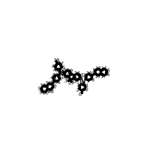 Cc1ccc(N(c2ccc(-c3ccc4ccccc4c3)cc2)c2ccc3c(c2)C(C)(C)c2cc(N(c4ccc(C)cc4)c4ccc(-c5ccc6ccccc6c5)cc4)ccc2-3)cc1